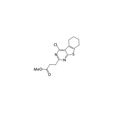 COC(=O)CCc1nc(Cl)c2c3c(sc2n1)CCCC3